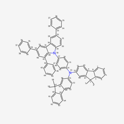 CC1(C)c2ccccc2-c2ccc(N(c3ccc(-n4c5ccc(-c6ccccc6)cc5c5cc(-c6ccccc6)cc(-c6ccccc6)c54)cc3)c3ccc4c(c3)C(C)(C)c3ccccc3-4)cc21